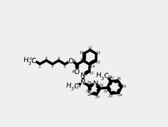 CCCCCCOC(=O)C1=CCCC=C1/C=N/N(C)c1nc(-c2ccccc2C)cs1